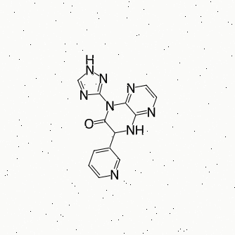 O=C1C(c2cccnc2)Nc2nccnc2N1c1nc[nH]n1